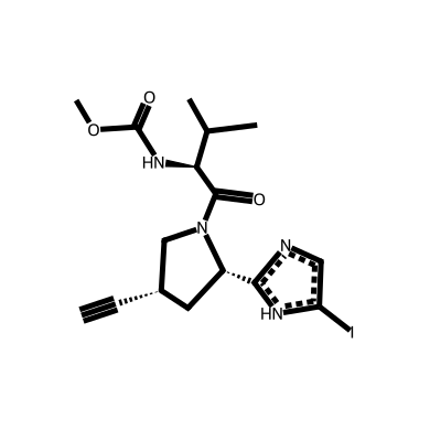 C#C[C@H]1C[C@@H](c2ncc(I)[nH]2)N(C(=O)[C@@H](NC(=O)OC)C(C)C)C1